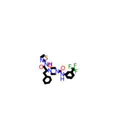 O=C(Nc1nccs1)C(CC1CCCCC1)N1CCN(C(=O)Nc2cccc(C(F)(F)F)c2)CC1=O